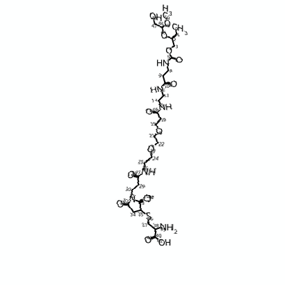 CCC(COC(=O)NCCC(=O)NCCNC(=O)CCOCCOCCNC(=O)CCN1C(=O)CC(SCC(N)C(=O)O)C1=O)OC(CO)OC